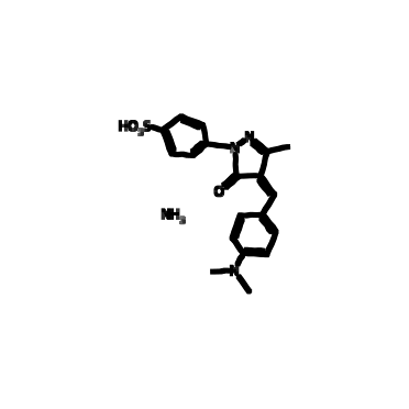 CC1=NN(c2ccc(S(=O)(=O)O)cc2)C(=O)/C1=C\c1ccc(N(C)C)cc1.N